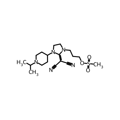 CC(C)N1CCC(N2CCN(CCCOS(C)(=O)=O)C2=C(C#N)C#N)CC1